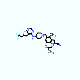 CC(=O)Cn1c(C#N)cc2c(C)c(CN3CCC(Nc4ncnc5sc(CC(F)(F)F)cc45)CC3)ccc21